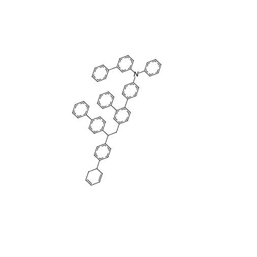 C1=CCC(c2ccc(C(Cc3ccc(-c4ccc(N(c5ccccc5)c5cccc(-c6ccccc6)c5)cc4)c(-c4ccccc4)c3)c3ccc(-c4ccccc4)cc3)cc2)C=C1